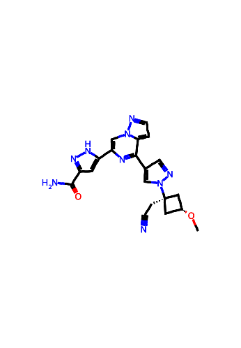 CO[C@H]1C[C@](CC#N)(n2cc(-c3nc(-c4cc(C(N)=O)n[nH]4)cn4nccc34)cn2)C1